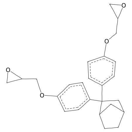 c1cc(C2(c3ccc(OCC4CO4)cc3)CC3CCC2C3)ccc1OCC1CO1